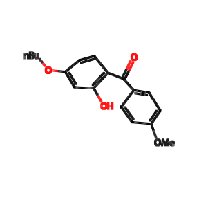 CCCCOc1ccc(C(=O)c2ccc(OC)cc2)c(O)c1